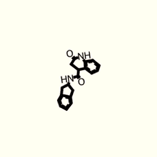 O=C1CC(C(=O)NC2Cc3ccccc3C2)c2ccccc2N1